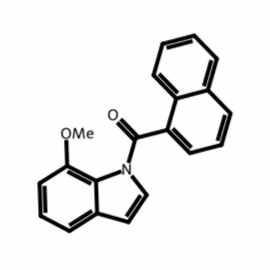 COc1cccc2ccn(C(=O)c3cccc4ccccc34)c12